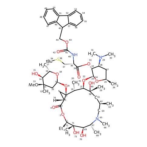 CC[C@H]1OC(=O)[C@@H]2C[C@]2(O[C@H]2C[C@@](C)(OC)[C@@H](O)[C@H](C)O2)[C@H](C)[C@@H](O[C@@H]2O[C@H](C)C[C@H](N(C)C)[C@H]2OC(=O)[C@H](CSC(C)(C)C)NC(=O)OCC2c3ccccc3-c3ccccc32)[C@](C)(O)C[C@@H](C)CN(C)[C@H](C)[C@@H](O)[C@]1(C)O